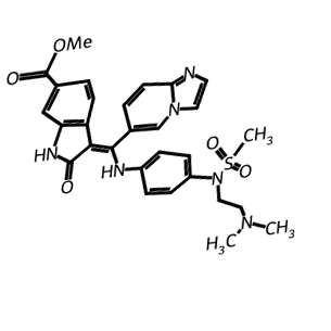 COC(=O)c1ccc2c(c1)NC(=O)/C2=C(\Nc1ccc(N(CCN(C)C)S(C)(=O)=O)cc1)c1ccc2nccn2c1